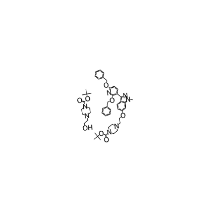 CC(C)(C)OC(=O)N1CCN(CCO)CC1.Cn1nc(-c2ccc(OCc3ccccc3)nc2OCc2ccccc2)c2ccc(OCCN3CCN(C(=O)OC(C)(C)C)CC3)cc21